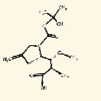 C=C1C[C@@H]([C@H](OC)[C@@H](C)C(=O)O)N(C(=O)OC(C)(C)C)C1